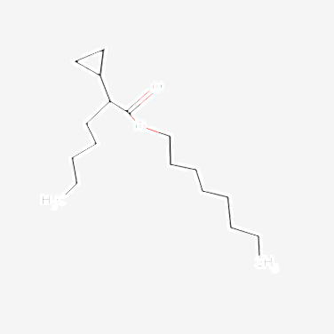 CCCCCCCCOC(=O)C(CCCCC)C1CC1